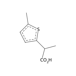 Cc1ccc(C(C)C(=O)O)s1